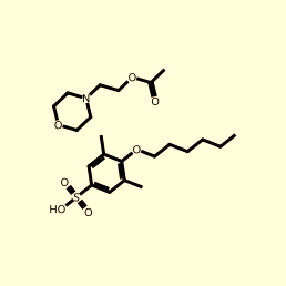 CC(=O)OCCN1CCOCC1.CCCCCCOc1c(C)cc(S(=O)(=O)O)cc1C